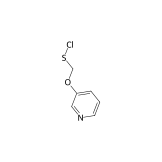 ClSCOc1cccnc1